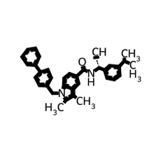 C#C[C@@H](NC(=O)c1ccc2c(c1)c(C)c(C)n2Cc1ccc(-c2ccccc2)cc1)c1cccc(C(C)C)c1